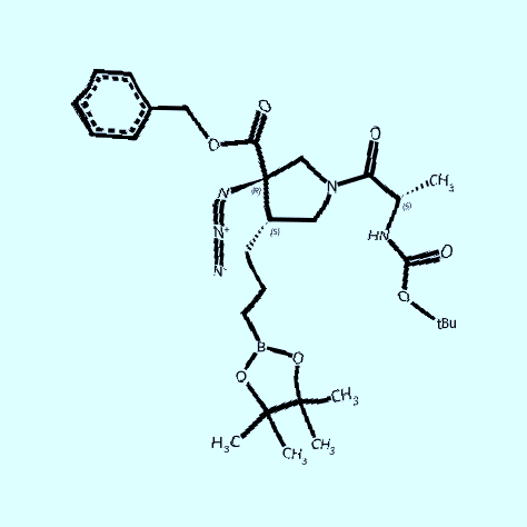 C[C@H](NC(=O)OC(C)(C)C)C(=O)N1C[C@H](CCCB2OC(C)(C)C(C)(C)O2)[C@](N=[N+]=[N-])(C(=O)OCc2ccccc2)C1